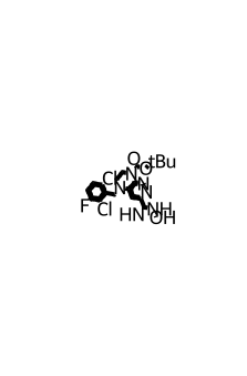 CC(C)(C)OC(=O)N1CCN(Cc2c(Cl)ccc(F)c2Cl)c2cc(C(=N)NO)nnc21